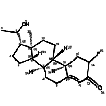 CC(O)[C@H]1CC[C@H]2[C@@H]3CCC4=CC(=O)C(F)C[C@@H]4[C@H]3CC[C@]12C